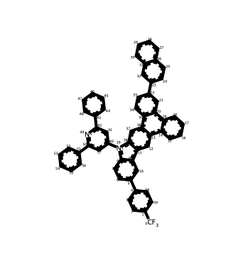 FC(F)(F)c1ccc(-c2ccc3c(c2)c2cc4c5ccccc5c5cc(-c6ccc7ccccc7c6)ccc5c4cc2n3-c2cc(-c3ccccc3)nc(-c3ccccc3)c2)cc1